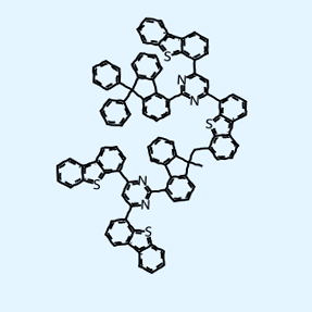 CC1(Cc2cccc3c2sc2c(-c4cc(-c5cccc6c5sc5ccccc56)nc(-c5cccc6c5-c5ccccc5C6(c5ccccc5)c5ccccc5)n4)cccc23)c2ccccc2-c2c(-c3nc(-c4cccc5c4sc4ccccc45)cc(-c4cccc5c4sc4ccccc45)n3)cccc21